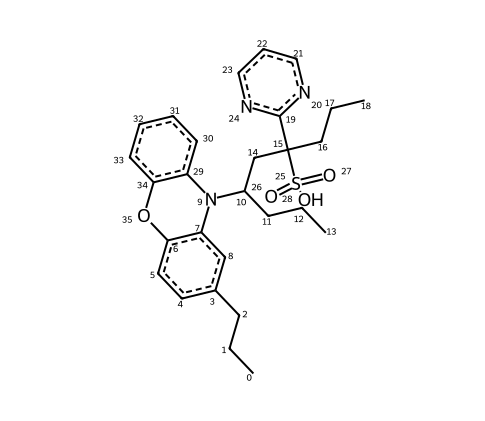 CCCc1ccc2c(c1)N(C(CCC)CC(CCC)(c1ncccn1)S(=O)(=O)O)c1ccccc1O2